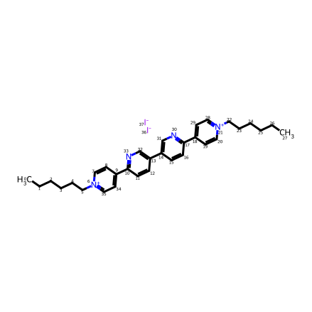 CCCCCC[n+]1ccc(-c2ccc(-c3ccc(-c4cc[n+](CCCCCC)cc4)nc3)cn2)cc1.[I-].[I-]